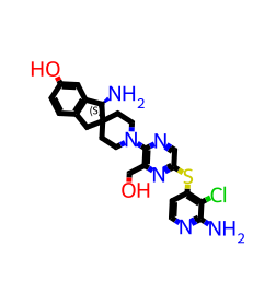 Nc1nccc(Sc2cnc(N3CCC4(CC3)Cc3ccc(O)cc3[C@H]4N)c(CO)n2)c1Cl